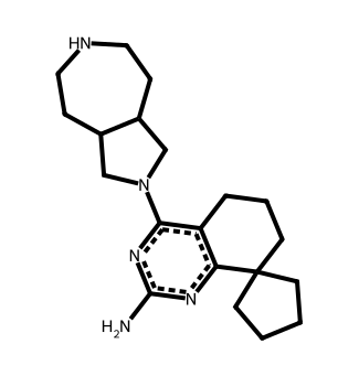 Nc1nc(N2CC3CCNCCC3C2)c2c(n1)C1(CCCC1)CCC2